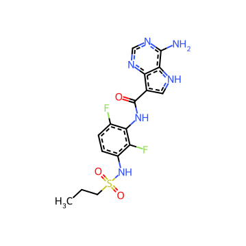 CCCS(=O)(=O)Nc1ccc(F)c(NC(=O)c2c[nH]c3c(N)ncnc23)c1F